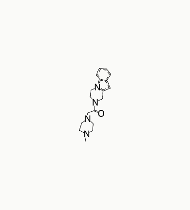 CN1CCN(CC(=O)N2CCn3c(cc4ccccc43)C2)CC1